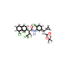 C[C@H](C(C(=O)Nc1cc([C@@H](CC(=O)OC(C)(C)C)C2CC2)ccc1Cl)c1ccc2cccc(Cl)c2c1)C(F)(F)F